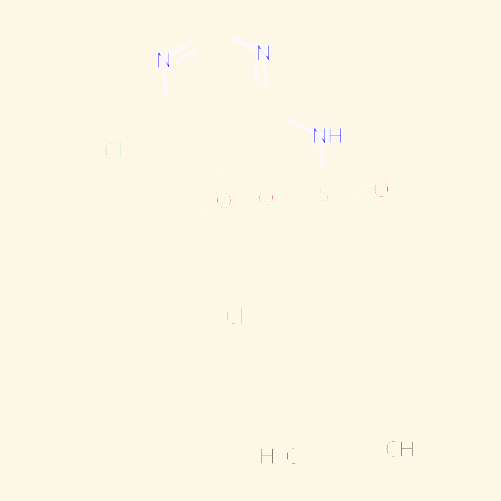 CC(C)c1ccc(S(=O)(=O)Nc2ncnc(Cl)c2Oc2ccccc2Cl)cc1